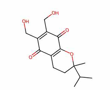 CC(C)C1(C)CCC2=C(O1)C(=O)C(CO)=C(CO)C2=O